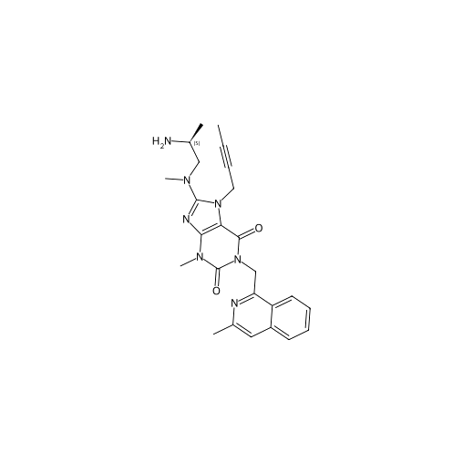 CC#CCn1c(N(C)C[C@H](C)N)nc2c1c(=O)n(Cc1nc(C)cc3ccccc13)c(=O)n2C